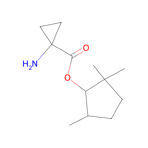 CC1CCC(C)(C)C1OC(=O)C1(N)CC1